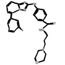 O=C(NCCCN1CCOCC1)c1ccc(Nc2nc3cccc(-c4cccc(F)c4)n3n2)cc1